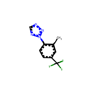 Cc1cc(C(F)(F)F)ccc1-n1n[c]nn1